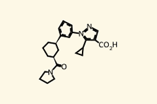 O=C(O)c1cnn(-c2cccc([C@@H]3CCC[C@H](C(=O)N4CCCC4)C3)c2)c1C1CC1